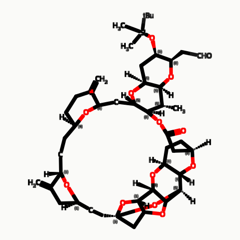 C=C1C[C@@H]2CC[C@@]34CC5OC6[C@@H](O3)[C@H]3O[C@H](CC[C@@H]3O[C@H]6[C@H]5O4)CC(=O)O[C@@H]3[C@@H](C)[C@@H]4O[C@H](CC=O)[C@H](O[Si](C)(C)C(C)(C)C)C[C@@H]4O[C@H]3C[C@H]3O[C@H](CCC3=C)CC[C@@H]1O2